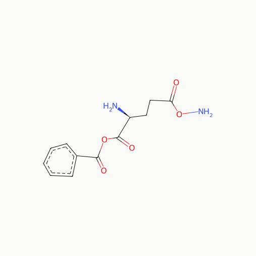 NOC(=O)CC[C@H](N)C(=O)OC(=O)c1ccccc1